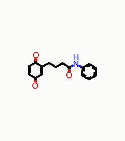 O=C1C=CC(=O)C(CCCC(=O)Nc2ccccc2)=C1